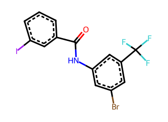 O=C(Nc1cc(Br)cc(C(F)(F)F)c1)c1cccc(I)c1